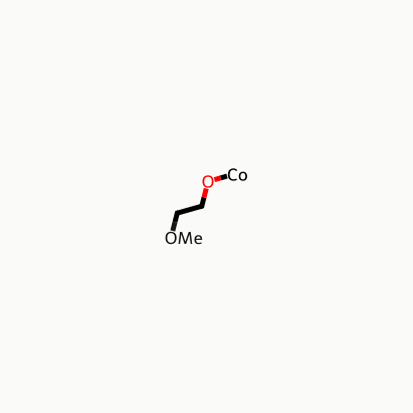 COCC[O][Co]